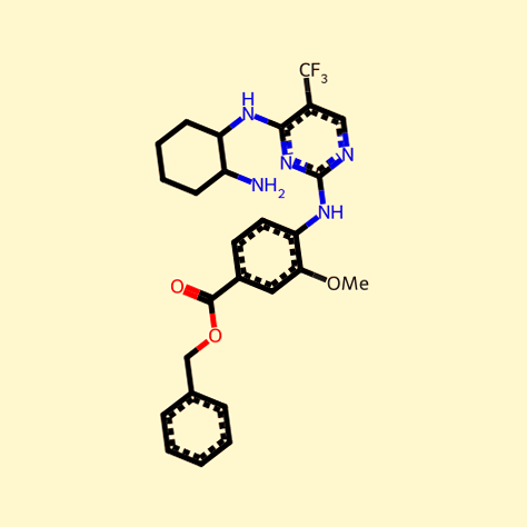 COc1cc(C(=O)OCc2ccccc2)ccc1Nc1ncc(C(F)(F)F)c(NC2CCCCC2N)n1